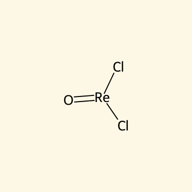 [O]=[Re]([Cl])[Cl]